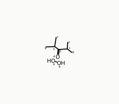 CC(C)C(=O)C(C)C.OO